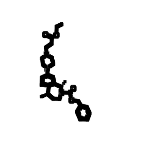 CCOC(=O)CCN1CCN(c2ccc3c(c2)[C@H](C)N(C(=O)OCc2ccccc2)CC[C@H]3C)CC1